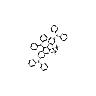 C[Si](C)(C)C1([Si](C)(C)C)c2cc(N(c3ccccc3)c3ccccc3)ccc2-c2c1cc1cc(N(c3ccccc3)c3ccccc3)ccc1c2N(c1ccccc1)c1ccccc1